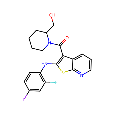 O=C(c1c(Nc2ccc(I)cc2F)sc2ncccc12)N1CCCCC1CO